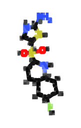 Nc1ncc(S(=O)(=O)c2ccc3cc(F)ccc3n2)s1